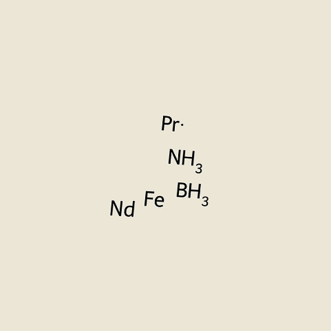 B.N.[Fe].[Nd].[Pr]